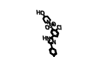 Cc1ccc(-c2c[nH]c(-c3ccc(Cl)c(S(=O)(=O)N4CCC(O)CC4)c3)n2)cc1